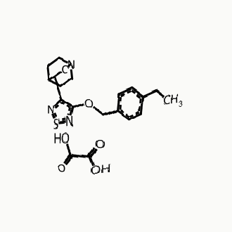 CCc1ccc(COc2nsnc2C2CN3CCC2CC3)cc1.O=C(O)C(=O)O